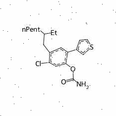 CCCCCC(CC)Cc1cc(-c2ccsc2)c(OC(N)=O)cc1Cl